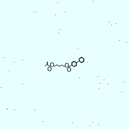 C=C(C)C(=O)OCCCCCOC(=O)c1ccc(-c2ccccc2)cc1